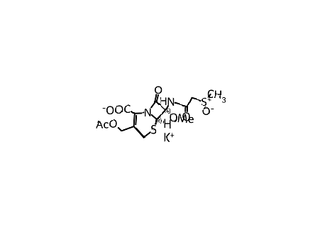 CO[C@@]1(NC(=O)C[S+](C)[O-])C(=O)N2C(C(=O)[O-])=C(COC(C)=O)CS[C@@H]21.[K+]